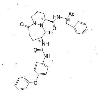 [CH2]C(=O)[C@H](Cc1ccccc1)NC(=O)[C@@H]1CCCN2C(=O)CC[C@H](NC(=O)Nc3ccc(Oc4ccccc4)cc3)C(=O)N12